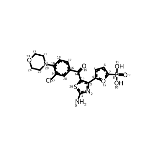 Nc1nc(-c2ccc(P(=O)(O)O)o2)c(C(=O)c2ccc(N3CCOCC3)c(Cl)c2)s1